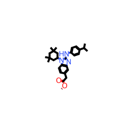 COC(=O)Cc1ccc2c(c1)nc(Nc1ccc(C(C)C)cc1)n2C1CC(C)(C)CC(C)(C)C1